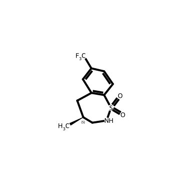 C[C@@H]1CNS(=O)(=O)c2ccc(C(F)(F)F)cc2C1